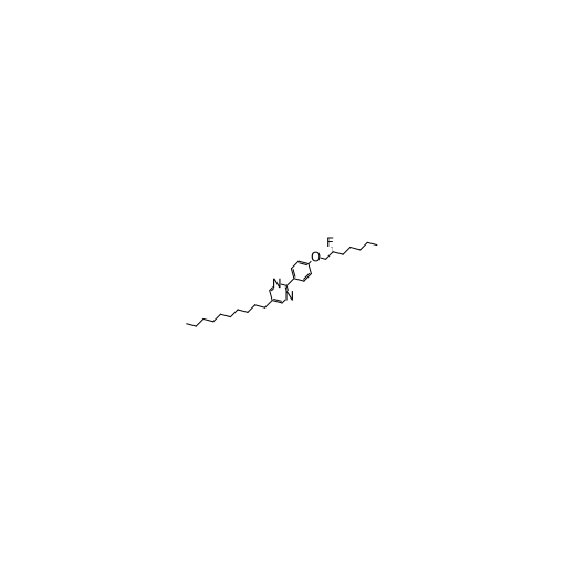 CCCCCCCCCCc1cnc(-c2ccc(OC[C@H](F)CCCCC)cc2)nc1